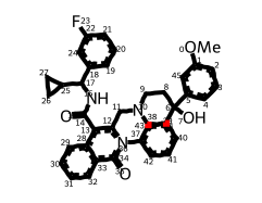 COc1cccc(C2(O)CCN(Cc3c(C(=O)NC(c4cccc(F)c4)C4CC4)c4ccccc4c(=O)n3-c3ccccc3)CC2)c1